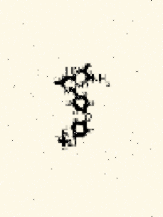 Cc1cc(NC(C)C(N)=O)nc(-c2ccc(Oc3ccc(OC(F)(F)F)cc3)cc2)n1